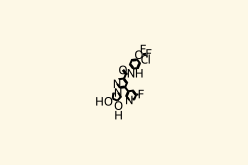 O=C(Nc1ccc(OC(F)(F)Cl)cc1)c1cnc(N2CC(O)C(O)C2)c(-c2cncc(F)c2)c1